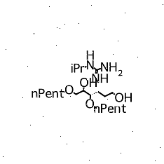 CC(C)NC(=N)N.CCCCCOC[C@@H](O)[C@H](CCCO)OCCCCC